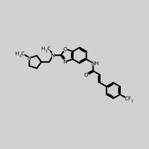 CN1CCC(CN(C)c2nc3cc(NC(=O)/C=C/c4ccc(C(F)(F)F)cc4)ccc3o2)C1